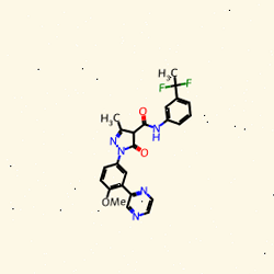 COc1ccc(N2N=C(C)C(C(=O)Nc3cccc(C(C)(F)F)c3)C2=O)cc1-c1cnccn1